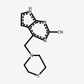 N#Cc1nc(CN2CCSCC2)c2cc[nH]c2n1